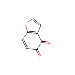 O=C1C=Cc2occc2C1=O